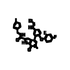 CCSNc1ccc(Oc2ccc(F)cc2F)c(-c2cn(C)c(=O)c3[nH]c(C(=O)NCc4ccc(C)cc4)cc23)c1